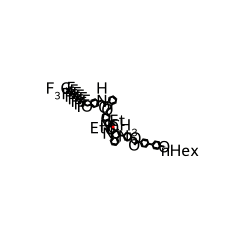 CCCCCCOc1ccc(-c2ccc(C(=O)OC3CCN(c4cc5c(c6ccccc46)N=CC4(O5)N(CC)c5ccc(OCc6ccccc6C(=O)Nc6ccc(OC(F)(F)C(F)(F)C(F)(F)C(F)(F)C(F)(F)C(F)(F)C(F)(F)F)cc6)cc5C4(C)CC)CC3)cc2)cc1